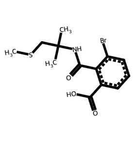 CSCC(C)(C)NC(=O)c1c(Br)cccc1C(=O)O